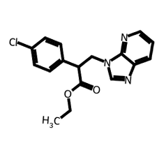 CCOC(=O)C(Cn1cnc2cccnc21)c1ccc(Cl)cc1